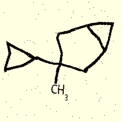 CC1(C2CC2)[CH]C2CC2C1